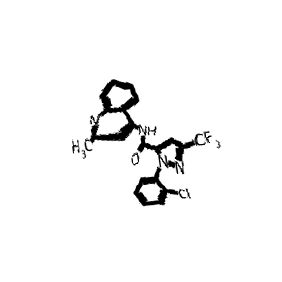 Cc1cc(NC(=O)c2cc(C(F)(F)F)nn2-c2ccccc2Cl)c2ccccc2n1